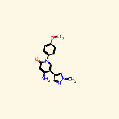 Cn1cc(-c2cn(-c3ccc(OC(F)(F)F)cc3)c(=O)cc2N)cn1